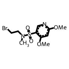 COc1cc(OC)c(S(=O)(=O)N(C)CCBr)cn1